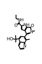 CCNC(=O)c1cc2c(-c3cc(C(C)(C)O)c4cccnc4c3C)cn(C)c(=O)c2[nH]1